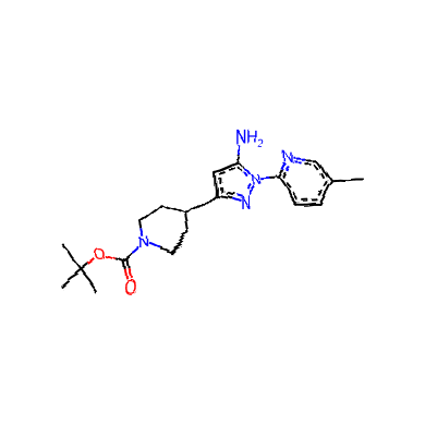 Cc1ccc(-n2nc(C3CCN(C(=O)OC(C)(C)C)CC3)cc2N)nc1